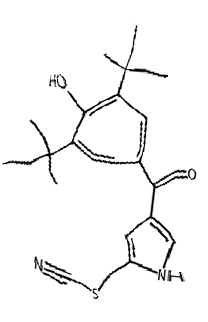 CC(C)(C)c1cc(C(=O)c2c[nH]c(SC#N)c2)cc(C(C)(C)C)c1O